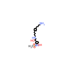 CS(=O)(=O)Nc1cc([C@@H](O)CNCCCCc2ccc(CCCCN)cc2)ccc1O